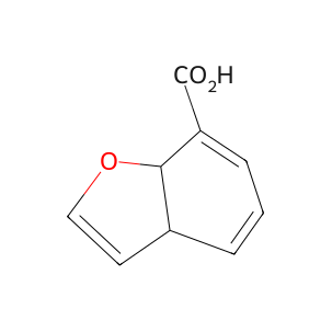 O=C(O)C1=CC=CC2C=COC12